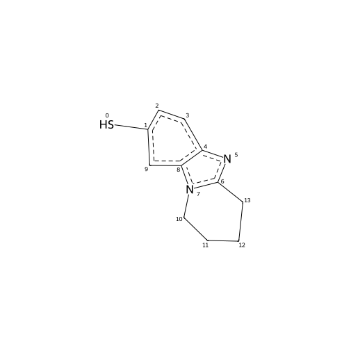 Sc1ccc2nc3n(c2c1)CCCC3